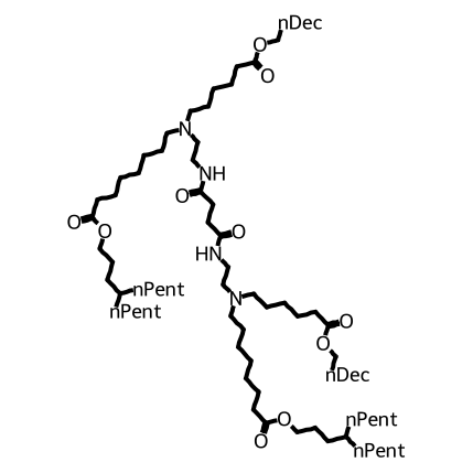 CCCCCCCCCCCOC(=O)CCCCCN(CCCCCCCC(=O)OCCCC(CCCCC)CCCCC)CCNC(=O)CCC(=O)NCCN(CCCCCCCC(=O)OCCCC(CCCCC)CCCCC)CCCCCC(=O)OCCCCCCCCCCC